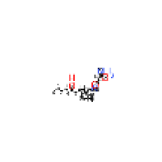 CCCCCC(O)C=CC1=CC[C@@H]2C/C(=N/OCCC(N)=O)C[C@@H]12